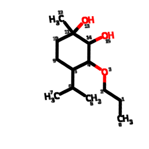 CCCOC1C(C(C)C)CCC(C)(O)C1O